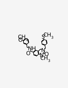 COc1cccc(CNC(=O)c2ccc3c(c2)CN(Cc2ccc(SC)cc2)C(=O)N3C)c1